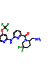 NCC1CCC(F)(F)CN1C(=O)c1cccc(Nc2cc(OC(F)(F)F)ccn2)n1